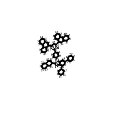 c1ccc(-c2cc(-c3ccccc3)c3nc(-c4ccc5ccccc5c4)n(-c4ccc(-c5nc(-c6cc7ccccc7c7ccccc67)cc(-c6cc7ccccc7c7ccccc67)n5)cc4)c3c2)cc1